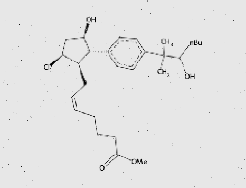 CCCCC(O)C(C)(C)c1ccc([C@@H]2[C@@H](C/C=C\CCCC(=O)OC)[C@@H](Cl)C[C@H]2O)cc1